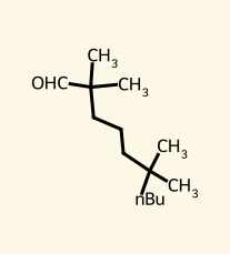 CCCCC(C)(C)CCCC(C)(C)C=O